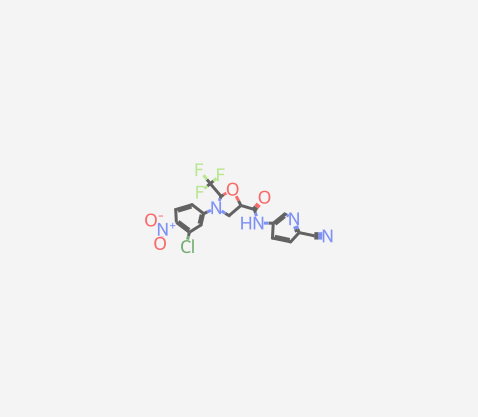 N#Cc1ccc(NC(=O)C2CN(c3ccc([N+](=O)[O-])c(Cl)c3)C(C(F)(F)F)O2)cn1